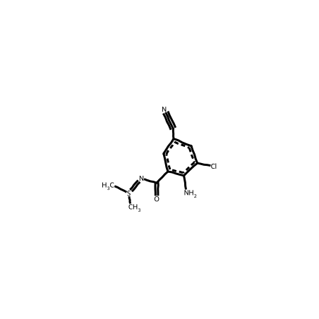 CS(C)=NC(=O)c1cc(C#N)cc(Cl)c1N